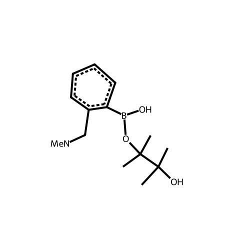 CNCc1ccccc1B(O)OC(C)(C)C(C)(C)O